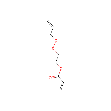 C=CCOOCCOC(=O)C=C